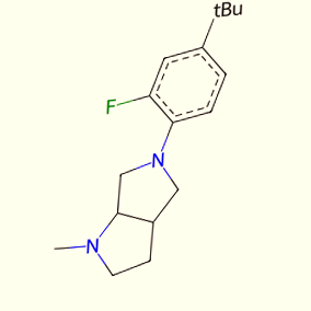 CN1CCC2CN(c3ccc(C(C)(C)C)cc3F)CC21